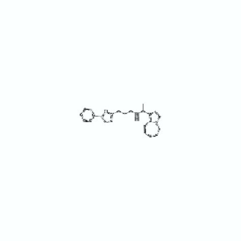 CC(NCCCc1ccc(-c2ccccc2)o1)c1ccc2cccccc1-2